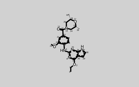 CCOc1nc(Nc2ccc(C(=O)N3C[C@@H](C)O[C@@H](C)C3)cc2OC)nc2[nH]ccc12